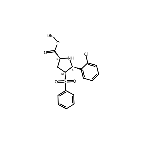 CC(C)(C)OC(=O)[C@@H]1C[C@H](S(=O)(=O)c2ccccc2)[C@H](c2ccccc2Cl)N1